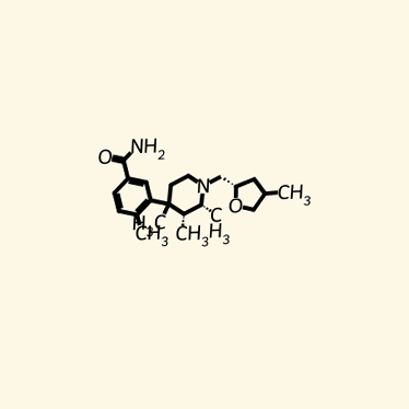 Cc1ccc(C(N)=O)cc1C1(C)CCN(C[C@@H]2CC(C)CO2)[C@H](C)[C@@H]1C